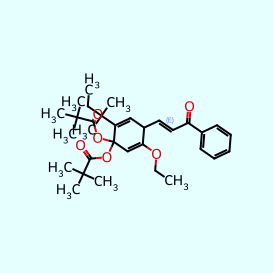 CCOC1=CC(OC(=O)C(C)(C)C)(OC(=O)C(C)(C)C)C(C(C)(C)CC)=CC1/C=C/C(=O)c1ccccc1